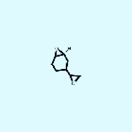 C1CC2O[C@H]2CC1C1CO1